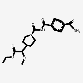 CCOC(=O)C(OC)C1CCN(C(=O)NC(=O)c2ccc(C(N)=S)cc2)CC1